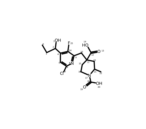 CCC(O)c1cc(Cl)nc(CC2(C(=O)O)CCN(C(=O)O)C(C)C2)c1F